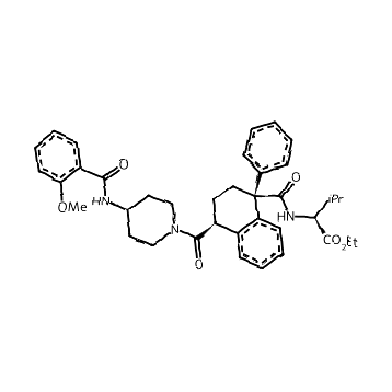 CCOC(=O)[C@@H](NC(=O)[C@@]1(c2ccccc2)CC[C@H](C(=O)N2CCC(NC(=O)c3ccccc3OC)CC2)c2ccccc21)C(C)C